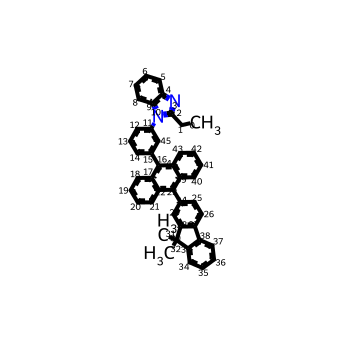 CCc1nc2ccccc2n1-c1cccc(-c2c3ccccc3c(-c3ccc4c(c3)C(C)(C)c3ccccc3-4)c3ccccc23)c1